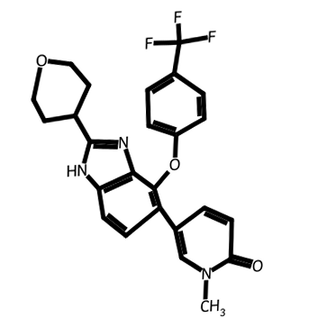 Cn1cc(-c2ccc3[nH]c(C4CCOCC4)nc3c2Oc2ccc(C(F)(F)F)cc2)ccc1=O